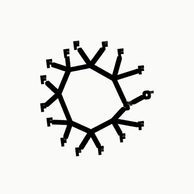 [O-][S+]1C(F)(F)C(F)(F)C(F)(F)C(F)(F)C(F)(F)C(F)(F)C1(F)F